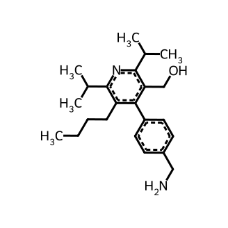 CCCCc1c(C(C)C)nc(C(C)C)c(CO)c1-c1ccc(CN)cc1